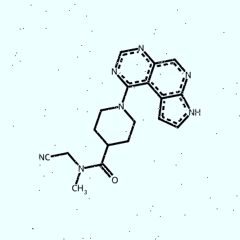 CN(CC#N)C(=O)C1CCN(c2ncnc3cnc4[nH]ccc4c23)CC1